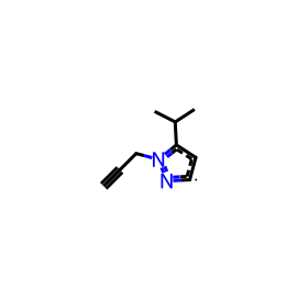 C#CCn1n[c]cc1C(C)C